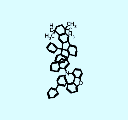 CC1(C)CCC(C)(C)c2cc3c(cc21)-c1cccc(-c2cc(N(c4ccc(-c5ccccc5)cc4)c4cccc5oc6ccccc6c45)c4ccccc4c2)c1C3(c1ccccc1)c1ccccc1